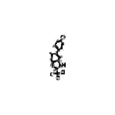 Clc1ccc(-c2ccc3nc(C(Cl)(Cl)Cl)[nH]c3c2)cc1